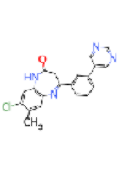 Cc1cc2c(cc1Cl)NC(=O)CC(c1cccc(-c3cncnc3)c1)=N2